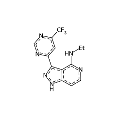 CCNc1nccc2[nH]nc(-c3cc(C(F)(F)F)ncn3)c12